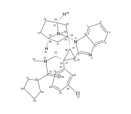 Cc1nc2ccccc2n1[C@@H]1C[C@H]2CC[C@@H](C1)N2C[C@@H]1C[C@@]1(CN(C)C(=O)C1CCCC1)c1cccc(Cl)c1